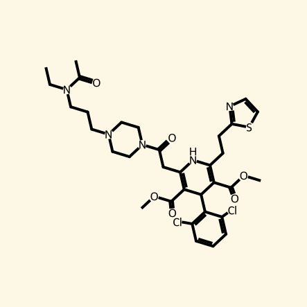 CCN(CCCN1CCN(C(=O)CC2=C(C(=O)OC)C(c3c(Cl)cccc3Cl)C(C(=O)OC)=C(CCc3nccs3)N2)CC1)C(C)=O